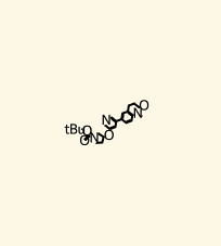 CN1C(=O)CCc2cc(-c3cncc(O[C@@H]4CCN(C(=O)OC(C)(C)C)C4)c3)ccc21